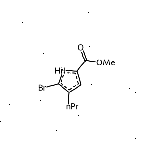 CCCc1cc(C(=O)OC)[nH]c1Br